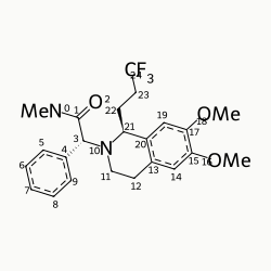 CNC(=O)[C@@H](c1ccccc1)N1CCc2cc(OC)c(OC)cc2[C@@H]1CCC(F)(F)F